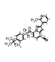 Cc1ncccc1-c1cc2c(C#N)ccc(NS(=O)(=O)c3ccc(C(C)(C)C)cc3)n2n1